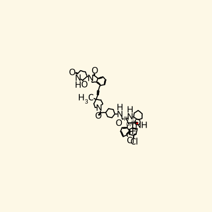 CC1(C#Cc2cccc3c2CN(C2CCC(=O)NC2=O)C3=O)CCN(C(=O)C2CCC(NC(=O)[C@@H]3NC4(CCCCC4)[C@@]4(C(=O)Nc5cc(Cl)ccc54)[C@H]3c3cccc(Cl)c3F)CC2)CC1